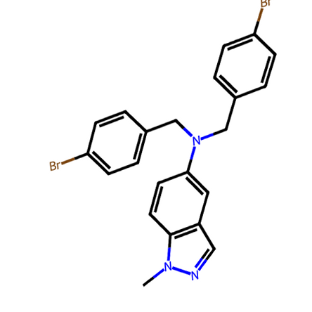 Cn1ncc2cc(N(Cc3ccc(Br)cc3)Cc3ccc(Br)cc3)ccc21